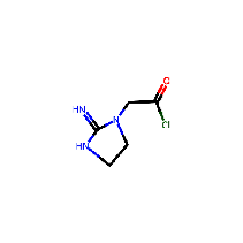 N=C1NCCN1CC(=O)Cl